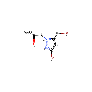 COC(=O)Cn1nc(Br)cc1CBr